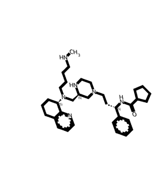 CNCCCCN(C[C@@H]1CN(CC[C@H](NC(=O)C2CCCC2)c2ccccc2)CCN1)[C@H]1CCCc2cccnc21